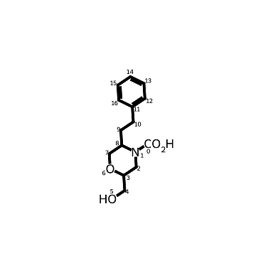 O=C(O)N1CC(CO)OCC1CCc1ccccc1